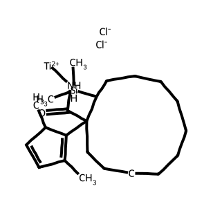 CC1=C(C2(C(=O)[NH][Ti+2])CCCCCCCCCCC2[SiH](C)C)C(C)C=C1.[Cl-].[Cl-]